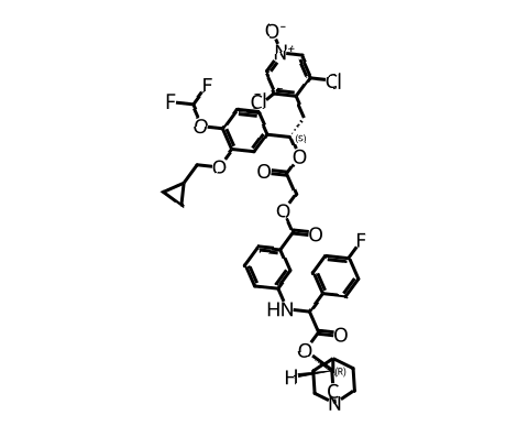 O=C(COC(=O)c1cccc(NC(C(=O)O[C@H]2CN3CCC2CC3)c2ccc(F)cc2)c1)O[C@@H](Cc1c(Cl)c[n+]([O-])cc1Cl)c1ccc(OC(F)F)c(OCC2CC2)c1